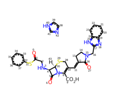 O=C(CN[C@@H]1C(=O)N2C(C(=O)O)=C(C=C3CCN(Cc4nc5ccccc5[nH]4)C3=O)CS[C@H]12)Sc1ccccc1.c1c[nH]cn1